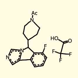 CC(=O)N1CCC(C2c3c(F)cccc3-c3cncn32)CC1.O=C(O)C(F)(F)F